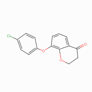 O=C1CCOc2c(Oc3ccc(Cl)cc3)cccc21